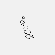 Clc1cccc2c1CCC1(CCN(c3ncc(Br)s3)CC1)O2